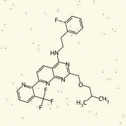 CC(C)COCc1nc(NCCc2ccccc2F)c2ccc(-c3ncccc3C(F)(F)F)nc2n1